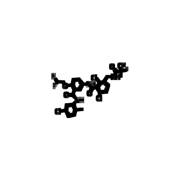 Cc1ccc(Cl)cc1NC(=O)c1cc(NC(=O)c2c(Cl)ccc(CNC(=O)C(C)(C)C(F)(F)F)c2Cl)ccc1OCC(F)F